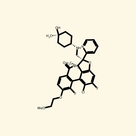 COCCOc1ccc(C(N)=O)c(-c2c(Cl)c(F)cc3c2[C@H](C)[C@@](CN[C@H]2CC[C@](C)(O)CC2)(c2ccccn2)O3)c1F